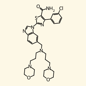 NC(=O)c1sc(-n2cnc3ccc(CN(CCCN4CCOCC4)CCCN4CCOCC4)cc32)nc1-c1cccc(Cl)c1